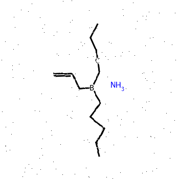 C=CCB(CCCCC)CCCCC.N